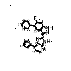 Fc1cc2[nH]nc(-c3nc4c(-c5cccs5)ccnc4[nH]3)c2cc1-c1cccnc1